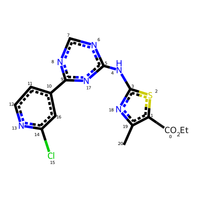 CCOC(=O)c1sc(Nc2ncnc(-c3ccnc(Cl)c3)n2)nc1C